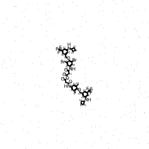 Cc1cc(NC(=O)CC(=O)OC(=O)CC(=O)Nc2cc(Br)c(OCc3cc(NC4CCC4)cc(C(F)(F)F)c3)c(Br)c2)cc(C)c1OCc1cc(NC2CCC2)cc(C(F)(F)F)c1